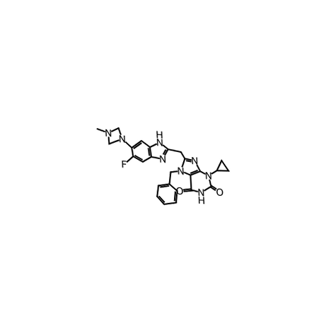 CN1CN(c2cc3[nH]c(Cc4nc5c(c(=O)[nH]c(=O)n5C5CC5)n4Cc4ccccc4)nc3cc2F)C1